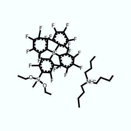 CCCC[NH+](CCCC)CCCC.CCO[Si](C)(OCC)c1c(F)c(F)c([B-](c2c(F)c(F)c(F)c(F)c2F)(c2c(F)c(F)c(F)c(F)c2F)c2c(F)c(F)c(F)c(F)c2F)c(F)c1F